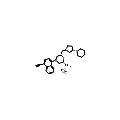 C[C@@H]1CN(c2ccc(C#N)c3ncccc23)C[C@@H](CN2CC[C@H](N3CCCCC3)C2)O1.Cl.Cl